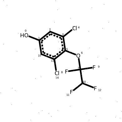 Oc1cc(Cl)c(OC(F)(F)C(F)F)c(Cl)c1